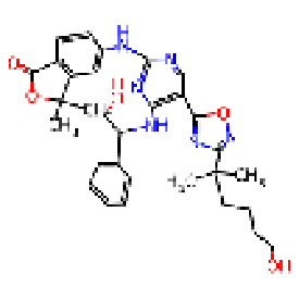 CC(C)(CCCCO)c1noc(-c2cnc(Nc3ccc4c(c3)C(C)(C)OC4=O)nc2NC(CO)c2ccccc2)n1